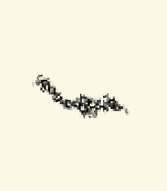 COc1cc(C(=O)Nc2cccc(C)n2)ccc1-c1nn2c(c1C(N)=O)Nc1ccc(N3CCN(CC4CCN(c5ccc(N6CCC(=O)NC6=O)cc5)CC4)CC3)cc1CC2